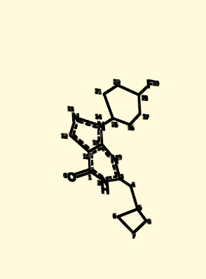 O=c1[nH]c(CC2CCC2)nc2c1cnn2C1CCC(F)CC1